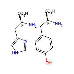 N[C@@H](Cc1c[nH]cn1)C(=O)O.N[C@@H](Cc1ccc(O)cc1)C(=O)O